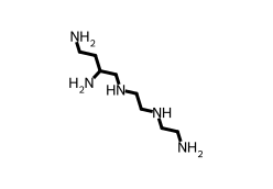 NCCNCCNCC(N)CCN